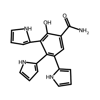 NC(=O)c1cc(-c2ccc[nH]2)c(-c2ccc[nH]2)c(-c2ccc[nH]2)c1O